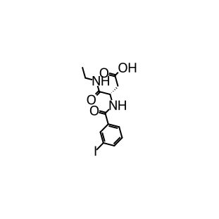 CCNC(=O)[C@H](CC(=O)O)NC(=O)c1cccc(I)c1